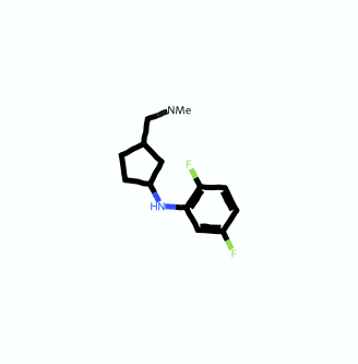 CNCC1CCC(Nc2cc(F)ccc2F)C1